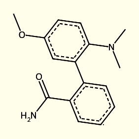 COc1ccc(N(C)C)c(-c2cc[c]cc2C(N)=O)c1